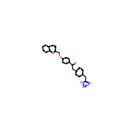 O=C(Cc1ccc(Cc2nnn[nH]2)cc1)c1ccc(OCc2ccc3ccccc3n2)cc1